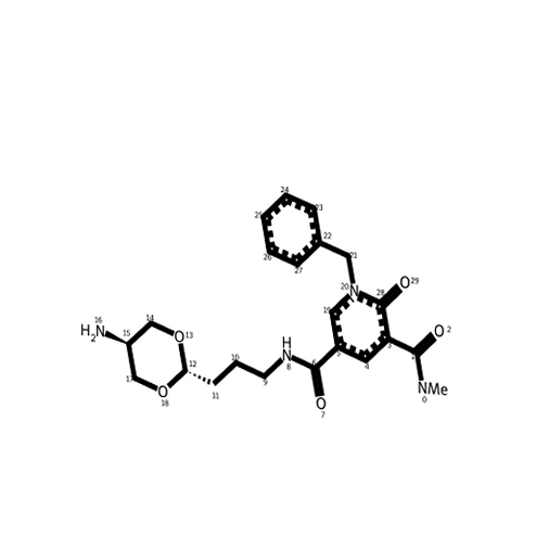 CNC(=O)c1cc(C(=O)NCCC[C@H]2OC[C@H](N)CO2)cn(Cc2ccccc2)c1=O